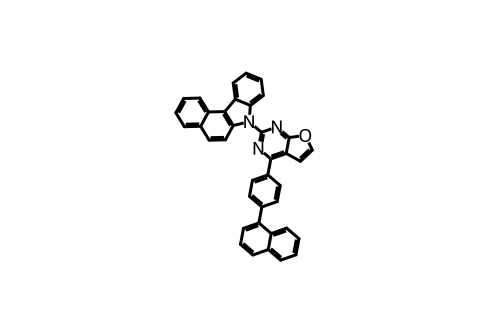 c1ccc2c(-c3ccc(-c4nc(-n5c6ccccc6c6c7ccccc7ccc65)nc5occc45)cc3)cccc2c1